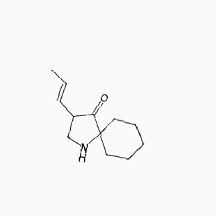 CC=CC1CNC2(CCCCC2)C1=O